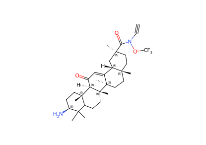 C#CN(OC(F)(F)F)C(=O)[C@@]1(C)CC[C@]2(C)CC[C@]3(C)C(=CC(=O)[C@@H]4[C@@]5(C)CC[C@H](N)C(C)(C)C5CC[C@]43C)[C@@H]2C1